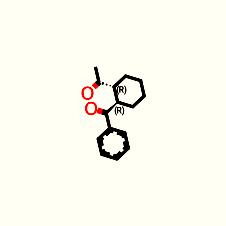 CC(=O)[C@@H]1CCCC[C@H]1C(=O)c1ccccc1